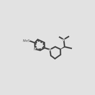 CSc1ccc(N2CCC[C@H](C(C)N(C)C)C2)cn1